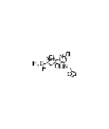 C[C@H](F)[C@H](N)Cc1oc2c(NCc3ccco3)cc(Cl)nc2c1Cl